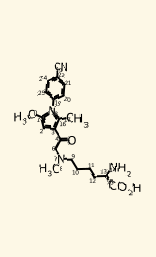 Cc1cc(C(=O)CN(C)CCCCC(N)C(=O)O)c(C)n1-c1ccc(C#N)cc1